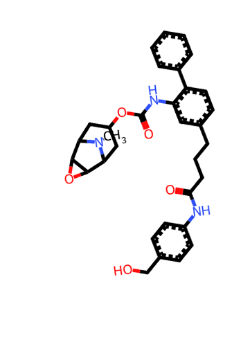 CN1C2CC(OC(=O)Nc3cc(CCCC(=O)Nc4ccc(CO)cc4)ccc3-c3ccccc3)CC1C1OC12